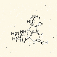 CN.CN.CN.O=C1CCc2c(F)cc(O)cc21